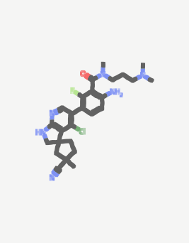 CN(C)CCCN(C)C(=O)c1c(N)ccc(-c2cnc3c(c2Cl)C2(CCC(C)(C#N)C2)CN3)c1F